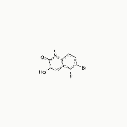 Cn1c(=O)c(O)cc2c(F)c(Br)ccc21